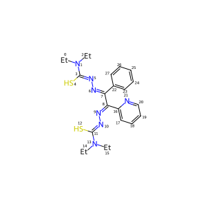 CCN(CC)/C(S)=N/N=C(/C(=N/N=C(\S)N(CC)CC)c1ccccn1)c1ccccc1